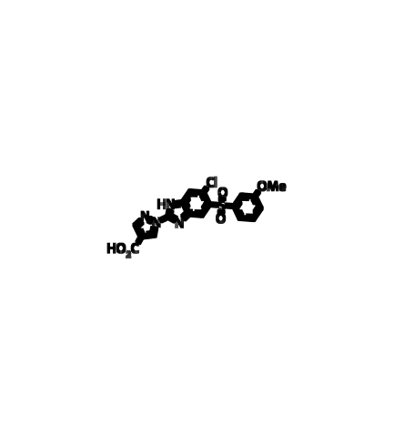 COc1cccc(S(=O)(=O)c2cc3nc(-n4cc(C(=O)O)cn4)[nH]c3cc2Cl)c1